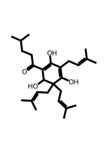 CC(C)=CCC1=C(O)C(CC=C(C)C)(CC=C(C)C)C(O)C(C(=O)CCC(C)C)=C1O